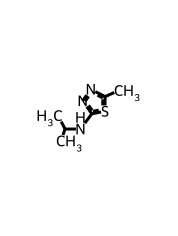 Cc1nnc(NC(C)C)s1